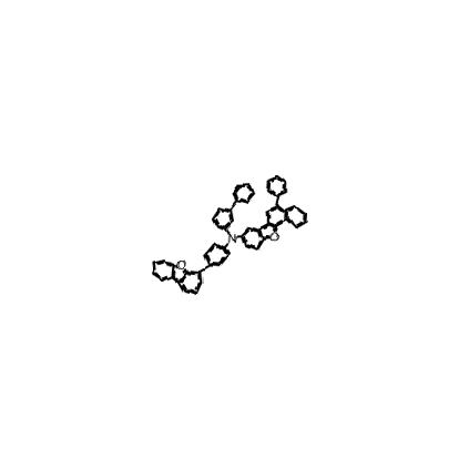 c1ccc(-c2cccc(N(c3ccc(-c4cccc5c4oc4ccccc45)cc3)c3ccc4oc5c6ccccc6c(-c6ccccc6)cc5c4c3)c2)cc1